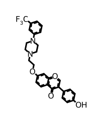 O=c1c(-c2ccc(O)cc2)coc2cc(OCCN3CCN(c4cccc(C(F)(F)F)c4)CC3)ccc12